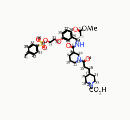 COC(=O)C[C@H](NC(=O)[C@@H]1CCCN(C(=O)CCC2CCN(C(=O)O)CC2)C1)c1cccc(OCCOS(=O)(=O)c2ccc(C)cc2)c1